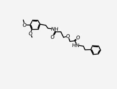 COc1ccc(CCNC(=O)CCOCC(=O)NCCc2ccccc2)cc1OC